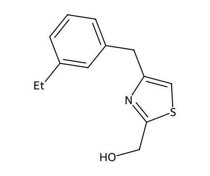 CCc1cccc(Cc2csc(CO)n2)c1